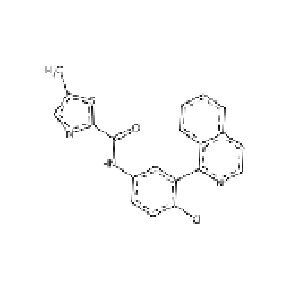 Cc1cnc(C(=O)Nc2ccc(Cl)c(-c3nccc4ccccc34)c2)s1